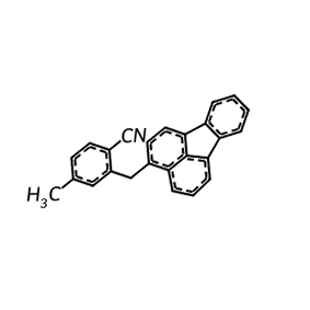 Cc1ccc(C#N)c(Cc2ccc3c4c(cccc24)-c2ccccc2-3)c1